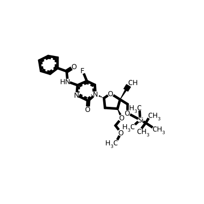 C#C[C@]1(CO[Si](C)(C)C(C)(C)C)O[C@@H](n2cc(F)c(NC(=O)c3ccccc3)nc2=O)C[C@@H]1OCOC